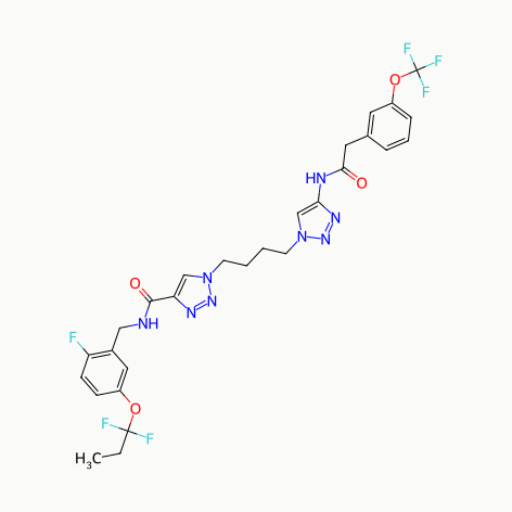 CCC(F)(F)Oc1ccc(F)c(CNC(=O)c2cn(CCCCn3cc(NC(=O)Cc4cccc(OC(F)(F)F)c4)nn3)nn2)c1